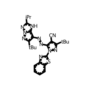 CC(C)c1nn2nc(C(C)(C)C)c(/N=N/c3c(C#N)c(C(C)(C)C)nn3-c3nc4ccccc4s3)c2[nH]1